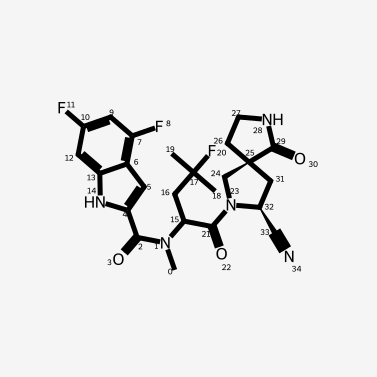 CN(C(=O)c1cc2c(F)cc(F)cc2[nH]1)C(CC(C)(C)F)C(=O)N1C[C@]2(CCNC2=O)C[C@H]1C#N